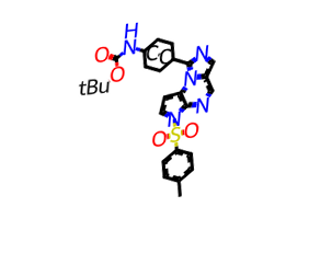 Cc1ccc(S(=O)(=O)n2ccc3c2ncc2cnc(C45CCC(NC(=O)OC(C)(C)C)(CC4)CC5)n23)cc1